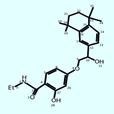 CCNC(=O)c1ccc(OCC(O)c2ccc3c(c2)C(C)(C)CCC3(C)C)cc1O